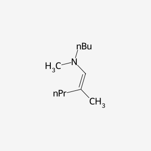 CCCCN(C)/C=C(/C)CCC